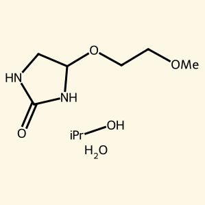 CC(C)O.COCCOC1CNC(=O)N1.O